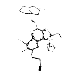 CCc1nc2c(OC[C@@]34CCCN3C[C@H](F)C4)nc3c(F)c(Br)c(CCC#N)cc3c2n1C1C2CNC1C2